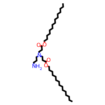 CCCCCCCCCCCCCCCOC(=O)CCN(CCCN)CCC(=O)OCCCCCCCCCCCCCCC